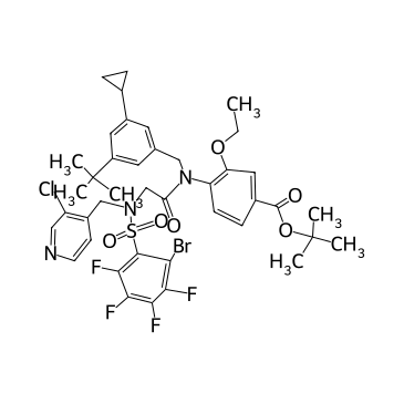 CCOc1cc(C(=O)OC(C)(C)C)ccc1N(Cc1cc(C2CC2)cc(C(C)(C)C)c1)C(=O)CN(Cc1ccncc1Cl)S(=O)(=O)c1c(F)c(F)c(F)c(F)c1Br